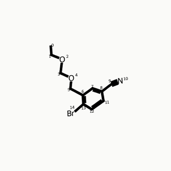 CCOCOCc1cc(C#N)ccc1Br